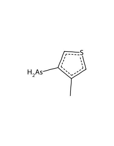 Cc1cscc1[AsH2]